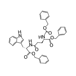 O=C(CC[C@@H](NC(=O)OCc1ccccc1)C(=O)OCc1ccccc1)N[C@@H](Cc1c[nH]c2ccccc12)C(=O)OCc1ccccc1